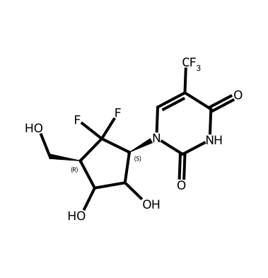 O=c1[nH]c(=O)n([C@H]2C(O)C(O)[C@@H](CO)C2(F)F)cc1C(F)(F)F